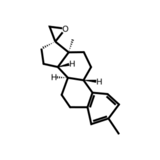 Cc1ccc2c(c1)CC[C@@H]1[C@@H]2CC[C@@]2(C)[C@H]1CC[C@@]21CO1